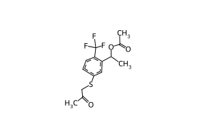 CC(=O)CSc1ccc(C(F)(F)F)c(C(C)OC(C)=O)c1